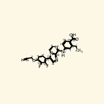 CCc1cc(Nc2nccn3c(-c4ccc(OCC#N)c(F)c4F)cnc23)ccc1C(=O)O